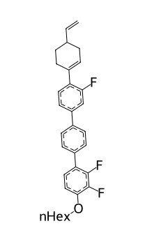 C=CC1CC=C(c2ccc(-c3ccc(-c4ccc(OCCCCCC)c(F)c4F)cc3)cc2F)CC1